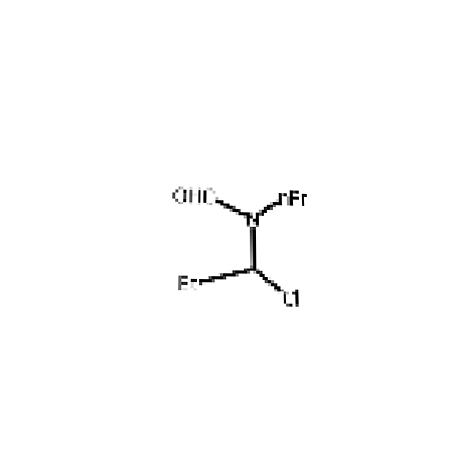 CCCN(C=O)C(Cl)CC